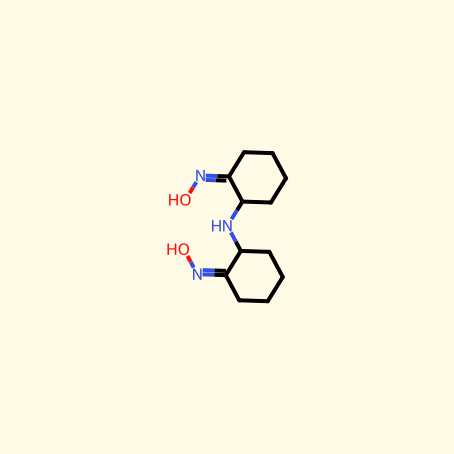 O/N=C1/CCCCC1NC1CCCC/C1=N/O